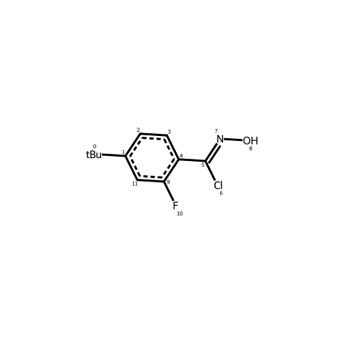 CC(C)(C)c1ccc(/C(Cl)=N/O)c(F)c1